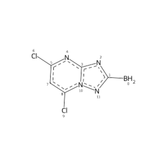 Bc1nc2nc(Cl)cc(Cl)n2n1